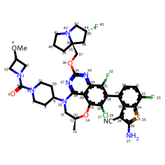 COC1CN(C(=O)N2CCC(N3C[C@H](C)Oc4c(Cl)c(-c5ccc(F)c6sc(N)c(C#N)c56)c(F)c5nc(OC[C@@]67CCCN6C[C@H](F)C7)nc3c45)CC2)C1